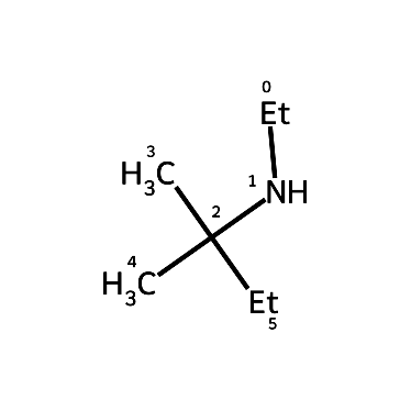 CCNC(C)(C)CC